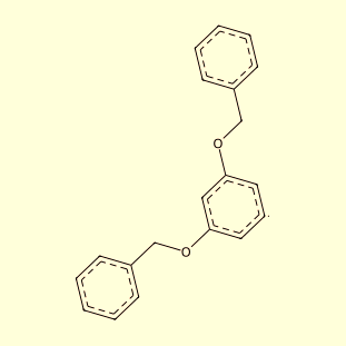 [c]1cc(OCc2ccccc2)cc(OCc2ccccc2)c1